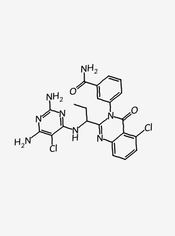 CCC(Nc1nc(N)nc(N)c1Cl)c1nc2cccc(Cl)c2c(=O)n1-c1cccc(C(N)=O)c1